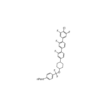 CCCCCc1ccc(C(F)(F)OC2CCC(c3ccc(-c4ccc(-c5cc(F)c(Cl)c(F)c5)c(F)c4)c(F)c3)CC2)cc1